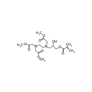 C=C(C)C(=O)OCC(O)CN(CCN(CC(=O)OC)CC(=O)OC)CC(=O)OC